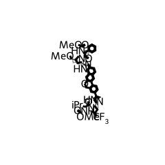 COC[C@H]1C[C@@H](c2nc3ccc4cc5c(cc4c3[nH]2)OCc2cc(-c3cnc([C@@H]4CC(C(F)(F)F)CN4C(=O)C(NC(=O)OC)C(C)C)[nH]3)ccc2-5)N(C(=O)[C@H](NC(=O)OC)c2ccccc2)C1